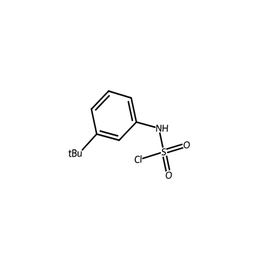 CC(C)(C)c1cccc(NS(=O)(=O)Cl)c1